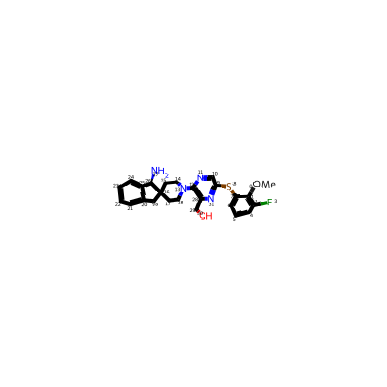 COc1c(F)cccc1Sc1cnc(N2CCC3(CC2)Cc2ccccc2[C@H]3N)c(CO)n1